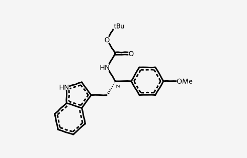 COc1ccc([C@H](Cc2c[nH]c3ccccc23)NC(=O)OC(C)(C)C)cc1